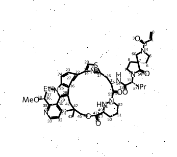 C=CC(=O)N1CC[C@]2(CCN([C@H](C(=O)N[C@H]3Cc4nc(cs4)-c4ccc5c(c4)c(c(-c4cccnc4[C@H](C)OC)n5CC)CC(C)(C)COC(=O)[C@@H]4CCCN(N4)C3=O)C(C)C)C2=O)C1